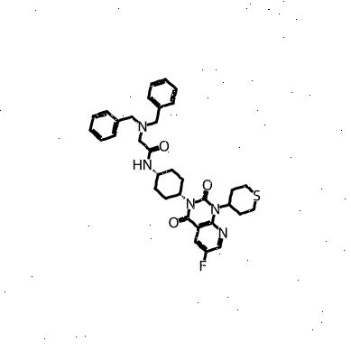 O=C(CN(Cc1ccccc1)Cc1ccccc1)N[C@H]1CC[C@@H](n2c(=O)c3cc(F)cnc3n(C3CCSCC3)c2=O)CC1